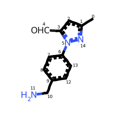 Cc1cc(C=O)n(-c2ccc(CN)cc2)n1